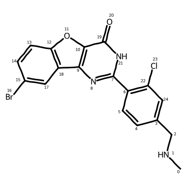 CNCc1ccc(-c2nc3c(oc4ccc(Br)cc43)c(=O)[nH]2)c(Cl)c1